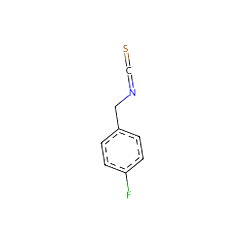 Fc1ccc(CN=C=S)cc1